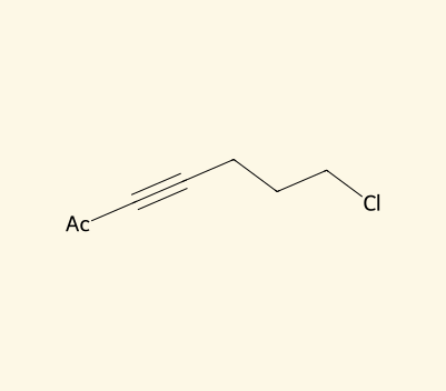 CC(=O)C#CCCCCl